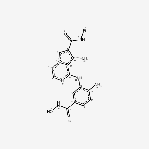 CCNC(=O)c1cn2ncnc(Nc3cc(C(=O)NO)ccc3C)c2c1C